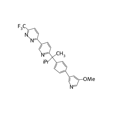 COc1cncc(-c2ccc(C(C)(c3ccc(-c4ccc(C(F)(F)F)nn4)cn3)C(C)C)cc2)c1